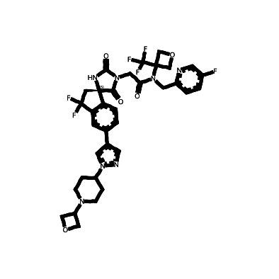 O=C1N[C@]2(CC(F)(F)c3cc(-c4cnn(C5CCN(C6COC6)CC5)c4)ccc32)C(=O)N1CC(=O)N(Cc1ccc(F)cn1)C1(C(F)(F)F)COC1